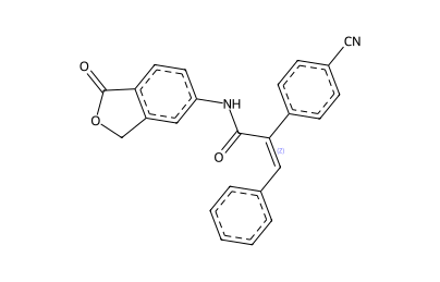 N#Cc1ccc(/C(=C/c2ccccc2)C(=O)Nc2ccc3c(c2)COC3=O)cc1